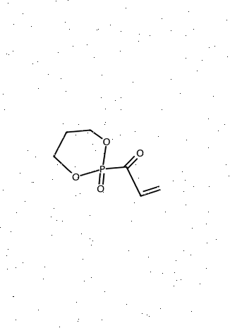 C=CC(=O)P1(=O)OCCCO1